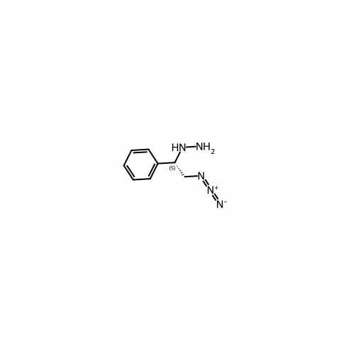 [N-]=[N+]=NC[C@@H](NN)c1ccccc1